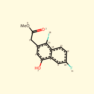 COC(=O)Cc1cc(O)c2cc(F)ccc2c1F